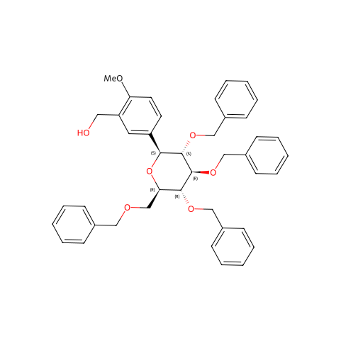 COc1ccc([C@@H]2O[C@H](COCc3ccccc3)[C@@H](OCc3ccccc3)[C@H](OCc3ccccc3)[C@H]2OCc2ccccc2)cc1CO